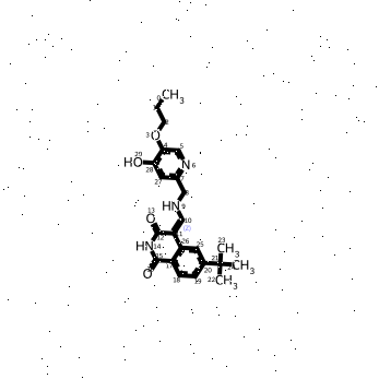 CCCOc1cnc(CN/C=C2\C(=O)NC(=O)c3ccc(C(C)(C)C)cc32)cc1O